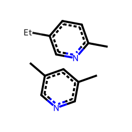 CCc1ccc(C)nc1.Cc1cncc(C)c1